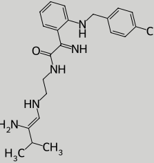 CC(C)/C(N)=C/NCCNC(=O)C(=N)c1ccccc1NCc1ccc(Cl)cc1